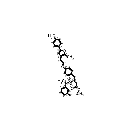 COC(=O)CN(Cc1ccc(OCCc2nc(-c3ccc(C)cc3)oc2C)cc1)S(=O)(=O)N(C)c1cccc(F)c1